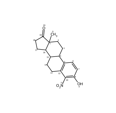 CC12CCC3c4ccc(O)c([N+](=O)[O-])c4CCC3C1CCC2=O